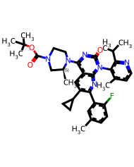 Cc1ccc(F)c(-c2nc3c(cc2C2CC2)c(N2CCN(C(=O)OC(C)(C)C)C[C@@H]2C)nc(=O)n3-c2c(C)ccnc2C(C)C)c1